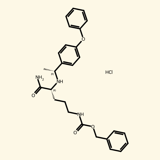 C[C@@H](N[C@H](CCCNC(=O)OCc1ccccc1)C(N)=O)c1ccc(Oc2ccccc2)cc1.Cl